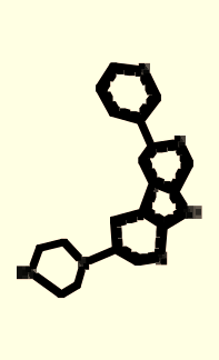 c1cncc(-c2cc3c(cn2)[nH]c2ncc(N4CCNCC4)cc23)c1